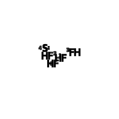 F.F.F.F.[S]